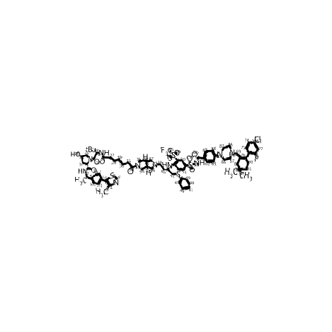 Cc1ncsc1-c1ccc([C@H](C)NC(=O)[C@@H]2C[C@@H](O)CN2C(=O)[C@@H](NC(=O)CCCCCC(=O)N2C[C@H]3CN(CC[C@H](CSc4ccccc4)Nc4ccc(S(=O)(=O)NC(=O)c5ccc(N6CCN(CC7=C(c8ccc(Cl)cc8F)CCC(C)(C)C7)CC6)cc5)cc4S(=O)(=O)C(F)(F)F)C[C@@H]3C2)C(C)(C)C)cc1